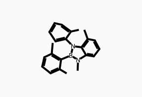 Cc1ccccc1N1B(c2c(C)cccc2C)N(C)c2cccc(C)c21